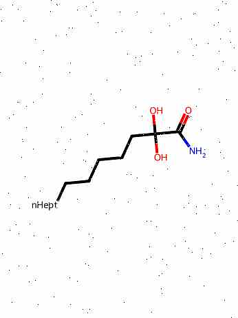 CCCCCCCCCCCCC(O)(O)C(N)=O